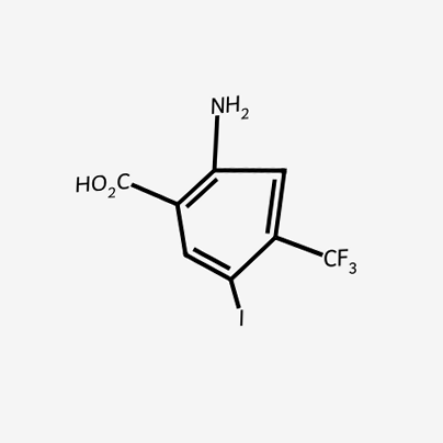 Nc1cc(C(F)(F)F)c(I)cc1C(=O)O